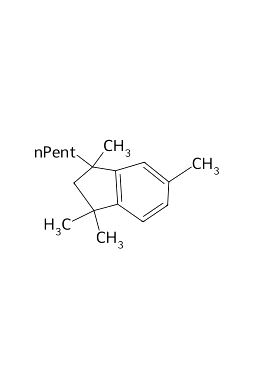 CCCCCC1(C)CC(C)(C)c2ccc(C)cc21